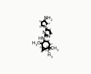 CC1C(Nc2nccc(N3CC[C@@H](N)C3)n2)CCC(C)(C)C2CC12